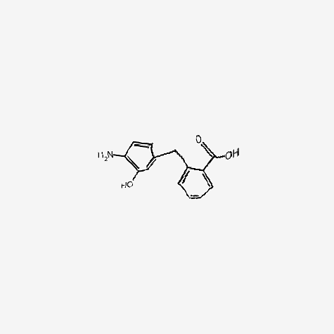 Nc1ccc(Cc2ccccc2C(=O)O)cc1O